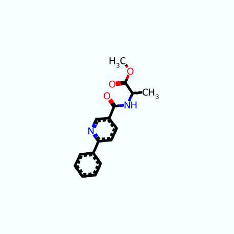 COC(=O)C(C)NC(=O)c1ccc(-c2ccccc2)nc1